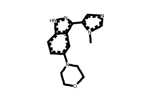 Cn1cncc1-c1n[nH]c2ccc(N3CCOCC3)cc12